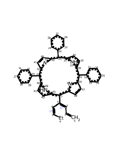 C=C/C=C(\C=C/CC)c1c2nc(c(-c3ccccc3)c3ccc([nH]3)c(-c3ccccc3)c3nc(c(-c4ccccc4)c4ccc1[nH]4)C=C3)C=C2